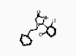 O=C1CN(CCc2ccccc2)[C@H](c2c(Cl)cccc2Cl)N1